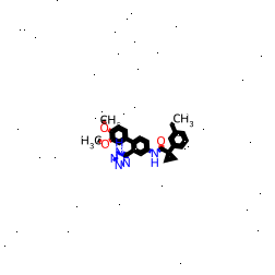 CCc1cccc(C2(C(=O)Nc3ccc(-c4ccc(OC)c(OC)c4)c(-c4nnn[nH]4)c3)CC2)c1